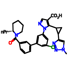 CCC[C@@H]1CCCCN1C(=O)c1cccc(-c2cc(Cl)cc(-n3ncc(C(=O)O)c3C3CC3c3cn(C)nn3)c2)c1